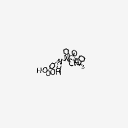 Cc1c(C(=O)c2cccc3ccccc23)c2ccccc2n1CCNCc1ccc(C(=O)O)c(O)c1